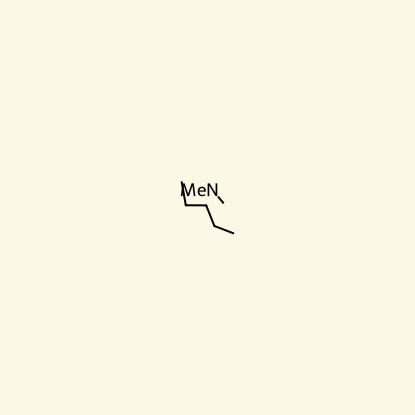 CCCCC.CNC